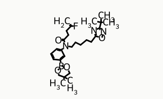 C=C(F)CCC(=O)N(CCCCCc1nc(C(C)(C)C)no1)c1cccc(B2OCC(C)(C)CO2)c1